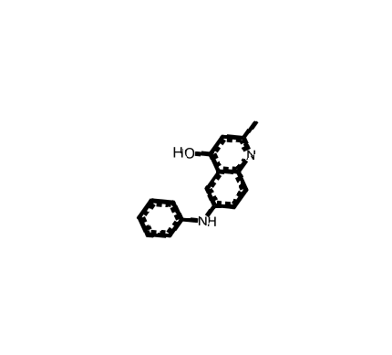 Cc1cc(O)c2cc(Nc3ccccc3)ccc2n1